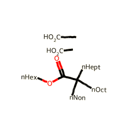 CC(=O)O.CC(=O)O.CCCCCCCCCC(CCCCCCC)(CCCCCCCC)C(=O)OCCCCCC